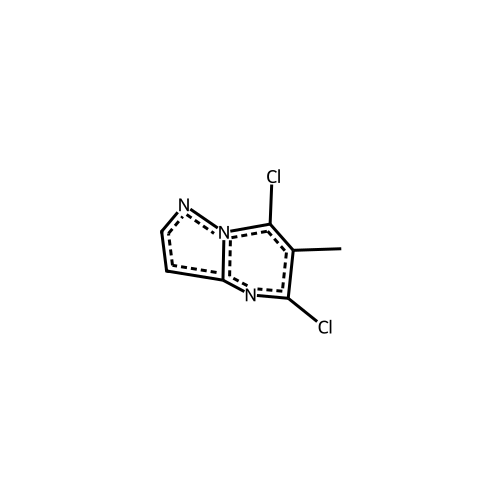 Cc1c(Cl)nc2ccnn2c1Cl